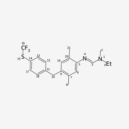 CCN(C)C=Nc1cc(C)c(Cc2ccc(SC(F)(F)F)cc2)cc1C